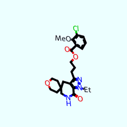 CCn1nc(CCCOC(=O)c2cccc(Cl)c2OC)c2c1C(=O)NCC1(CCOCC1)C2